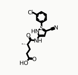 C[C@@H](CCC(=O)O)C(=O)NC1=CC(C#N)=S(c2cccc(Cl)c2)N1